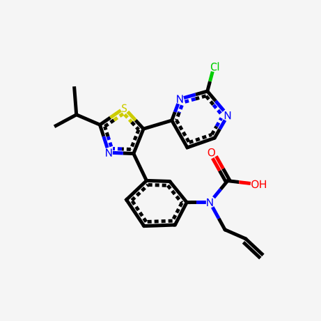 C=CCN(C(=O)O)c1cccc(-c2nc(C(C)C)sc2-c2ccnc(Cl)n2)c1